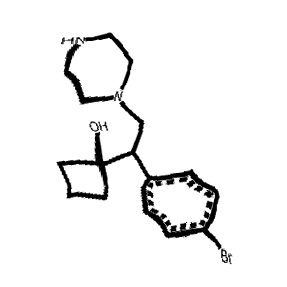 OC1(C(CN2CCNCC2)c2ccc(Br)cc2)CCC1